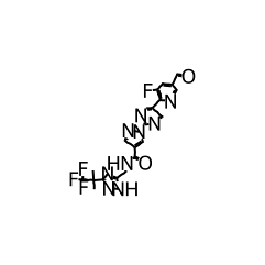 CC(C)(c1n[nH]c(CNC(=O)c2cnn(-c3ncc(-c4ncc(C=O)cc4F)cn3)c2)n1)C(F)(F)F